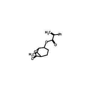 C=C(C(=O)OC1CCC2C(=O)OC1C2C)C(C)C